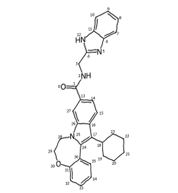 O=C(NCc1nc2ccccc2[nH]1)c1ccc2c(C3CCCCC3)c3n(c2c1)CCOc1ccccc1-3